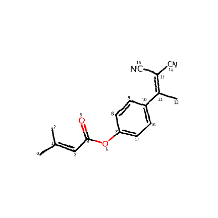 CC(C)=CC(=O)Oc1ccc(C(C)=C(C#N)C#N)cc1